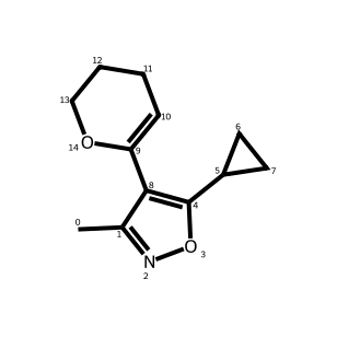 Cc1noc(C2CC2)c1C1=CCCCO1